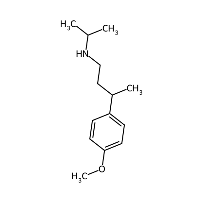 COc1ccc(C(C)CCNC(C)C)cc1